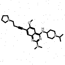 COc1cc2c(NC3CCN(C(C)C)CC3)nc(N(C)C)nc2cc1C#CCCN1CCCC1